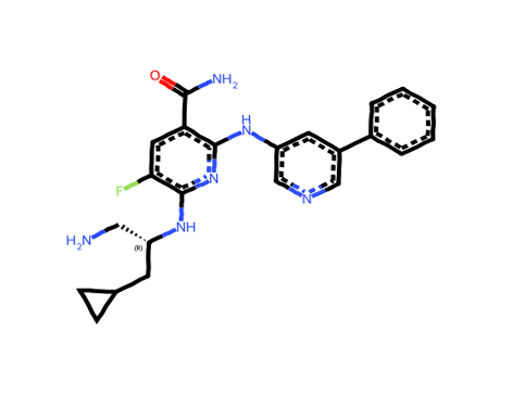 NC[C@@H](CC1CC1)Nc1nc(Nc2cncc(-c3ccccc3)c2)c(C(N)=O)cc1F